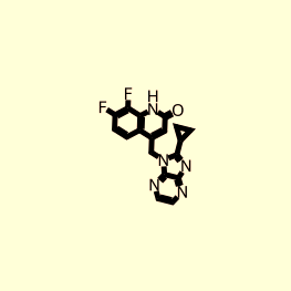 O=c1cc(Cn2c(C3CC3)nc3nccnc32)c2ccc(F)c(F)c2[nH]1